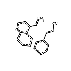 C=Cc1ccnc2ccccc12.N#CC=Cc1ccccc1